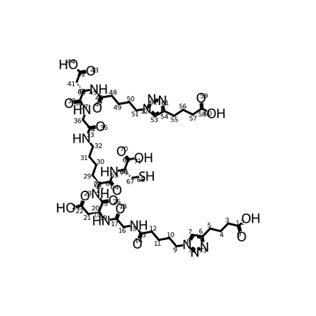 O=C(O)CCCc1cn(CCCCC(=O)NCC(=O)N[C@@H](CC(=O)O)C(=O)N[C@@H](CCCCNC(=O)CNC(=O)[C@H](CC(=O)O)NC(=O)CCCCn2cc(CCCC(=O)O)nn2)C(=O)N[C@@H](CS)C(=O)O)nn1